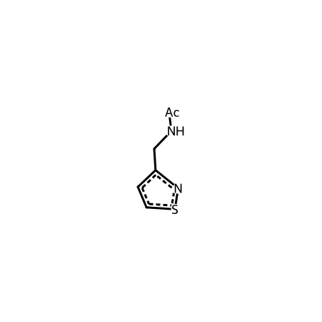 CC(=O)NCc1ccsn1